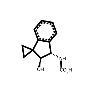 O=C(O)N[C@H]1c2ccccc2C2(CC2)[C@@H]1O